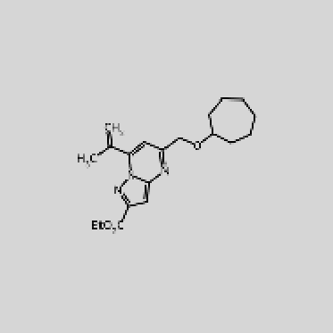 C=C(C)c1cc(COC2CCCCCC2)nc2cc(C(=O)OCC)nn12